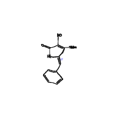 CNC1=C(N=O)C(=O)N/C1=C\c1ccccc1